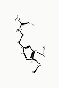 COc1ccc(CCNC(=O)O)cc1OC